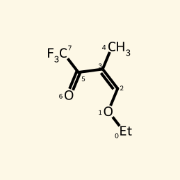 CCOC=C(C)C(=O)C(F)(F)F